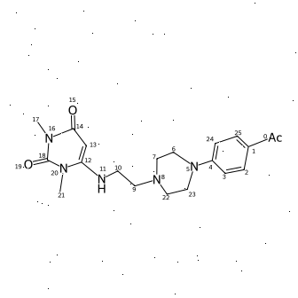 CC(=O)c1ccc(N2CCN(CCNc3cc(=O)n(C)c(=O)n3C)CC2)cc1